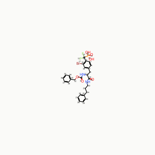 O=C(NC(Cc1ccc(C(F)(F)P(=O)(O)O)c(Br)c1)C(=O)NCCCc1ccccc1)OCc1ccccc1